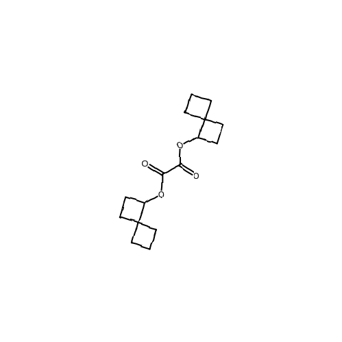 O=C(OC1CCC12CCC2)C(=O)OC1CCC12CCC2